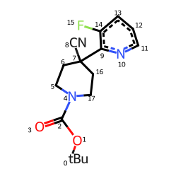 CC(C)(C)OC(=O)N1CCC(C#N)(c2ncccc2F)CC1